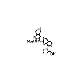 COc1nc2c(cc1Nc1ncc3ccnc(N4CCCCC4CO)c3n1)CN(C)CC2